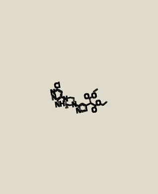 CCOC(=O)C(C(=O)OCC)c1ccnc(N2CCN(c3cc(Cl)nnc3N)CC2)c1